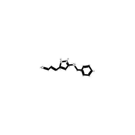 O=CC=Cc1cc(OCc2ccccc2)no1